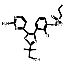 CCCS(=O)(=O)Nc1cccc(-c2nc(C(C)(C)CO)sc2-c2ccnc(N)n2)c1Cl